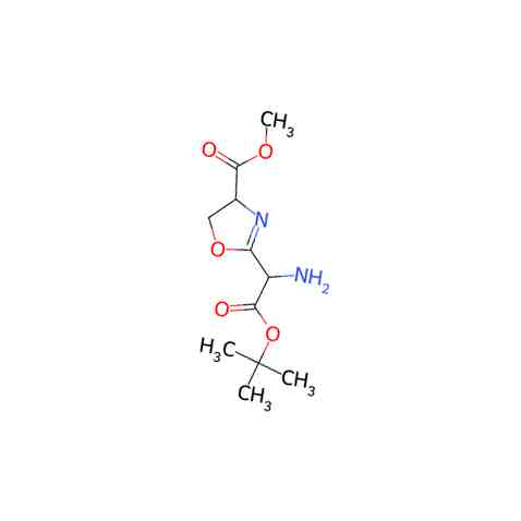 COC(=O)C1COC(C(N)C(=O)OC(C)(C)C)=N1